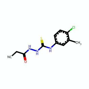 Cc1cc(NC(=S)NNC(=O)CC#N)ccc1Cl